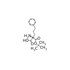 CC(C)(C)OC(=O)[C@@](N)(CCCc1ccccc1)C(=O)O